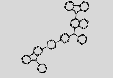 c1ccc(N(c2ccc(-c3ccc(-c4ccc5c6ccccc6n(-c6ccccc6)c5c4)cc3)cc2)c2ccc(-n3c4ccccc4c4ccccc43)c3ccccc23)cc1